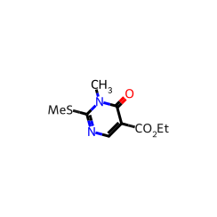 CCOC(=O)c1cnc(SC)n(C)c1=O